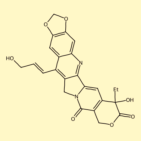 CCC1(O)C(=O)OCc2c1cc1n(c2=O)Cc2c-1nc1cc3c(cc1c2C=CCO)OCO3